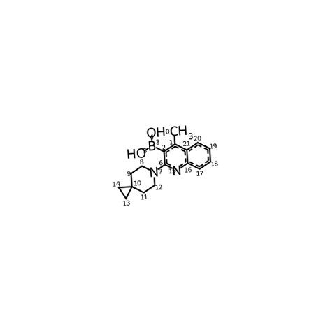 Cc1c(B(O)O)c(N2CCC3(CC2)CC3)nc2ccccc12